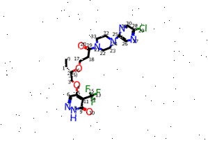 CC[C@@H](COc1cn[nH]c(=O)c1C(F)(F)F)OCCC(=O)N1CCN(c2cnc(Cl)cn2)CC1